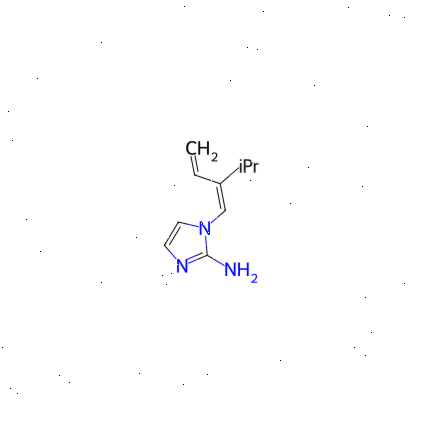 C=C/C(=C\n1ccnc1N)C(C)C